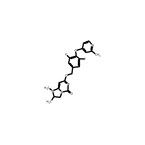 Cc1cc(Oc2c(F)cc(COc3cc4n(c(=O)n3)CC(C)N4C)cc2F)ccn1